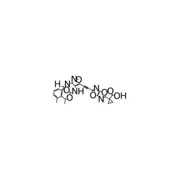 Cc1ccccc1C(C)OC(=O)Nc1c(N)noc1C#Cc1nc2oc(C3(C(=O)O)CC3)nc2o1